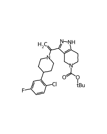 C=C(c1n[nH]c2c1CN(C(=O)OC(C)(C)C)CC2)N1CCC(c2cc(F)ccc2Cl)CC1